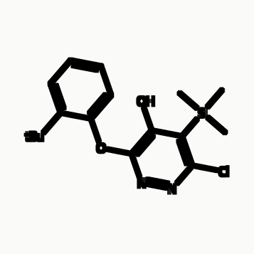 CC(C)(C)c1ccccc1Oc1nnc(Cl)c([Si](C)(C)C)c1O